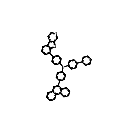 c1ccc(-c2ccc(N(c3ccc(-c4cc5ccccc5c5ccccc45)cc3)c3ccc(-c4cccc5c4sc4cnccc45)cc3)cc2)cc1